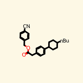 CCCCC1CCC(c2ccc(CC(=O)OCc3ccc(C#N)cc3)cc2)CC1